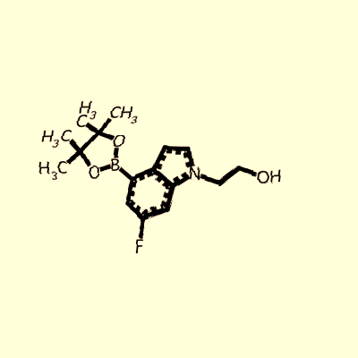 CC1(C)OB(c2cc(F)cc3c2ccn3CCO)OC1(C)C